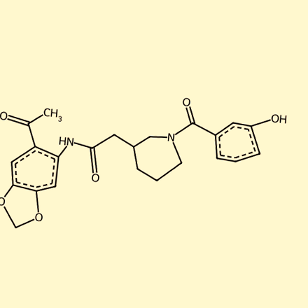 CC(=O)c1cc2c(cc1NC(=O)CC1CCCN(C(=O)c3cccc(O)c3)C1)OCO2